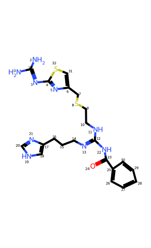 NC(N)=Nc1nc(CSCCNC(=NCCCc2c[nH]cn2)NC(=O)c2ccccc2)cs1